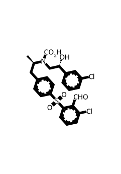 C[C@H](Cc1ccc(S(=O)(=O)c2cccc(Cl)c2C=O)cc1)N(C[C@H](O)c1cccc(Cl)c1)C(=O)O